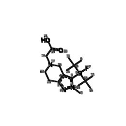 Cn1nc2c(c1[Si](F)(C(C)(C)C)C(C)(C)C)CN(CC(=O)O)CC2